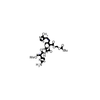 CO/N=C(/C(=O)N[C@@H]1C(=O)N2C(C(=O)OCOC(=O)C(C)(C)C)=C(/C=C\c3scnc3C)CS[C@H]12)c1csc(N)n1